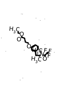 CCOC(=O)CCCOc1cccc(C[C@H](C)N(C)C(=O)C(F)(F)F)c1